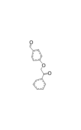 O=Cc1ccc(OCC(=O)c2ccccc2)cc1